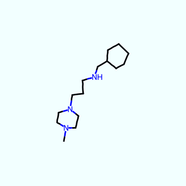 CN1CCN(CCCNCC2CCCCC2)CC1